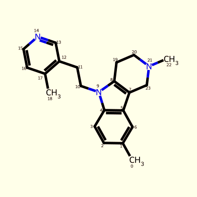 Cc1ccc2c(c1)c1c(n2CCc2cnccc2C)CCN(C)C1